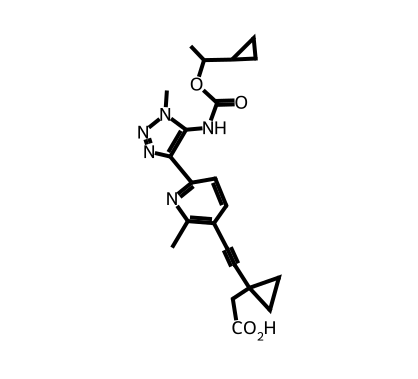 Cc1nc(-c2nnn(C)c2NC(=O)OC(C)C2CC2)ccc1C#CC1(CC(=O)O)CC1